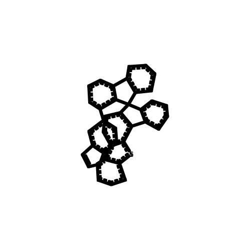 C1=Cc2cc(-c3cccc4c3C3(c5ccccc5-4)c4ccccc4-c4c3ccc3c4sc4ccccc43)ccc2C1